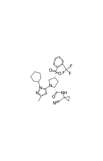 Cc1cc(N2C[C@H](S(=O)(=O)c3ccccc3C(F)(F)F)C[C@@H]2C(=O)NC2(C#N)CC2)n(C2CCCCC2)n1